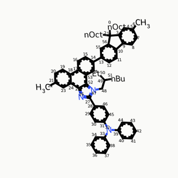 CCCCCCCCC1(CCCCCCCC)c2cc(C)ccc2-c2ccc(-c3ccc4c5ccc(C)cc5c5nc(-c6ccc(N(c7ccccc7)c7ccccc7)cc6)n(CC(CC)CCCC)c5c4c3)cc21